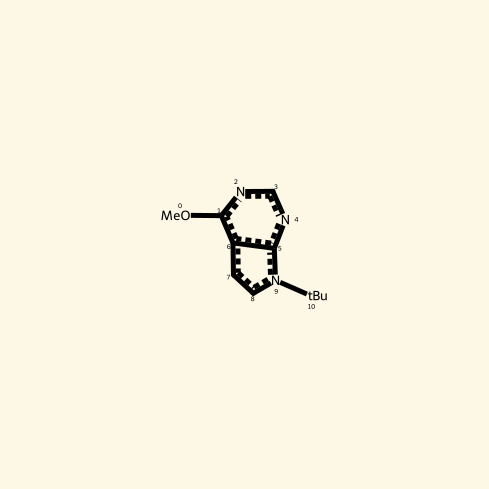 COc1ncnc2c1ccn2C(C)(C)C